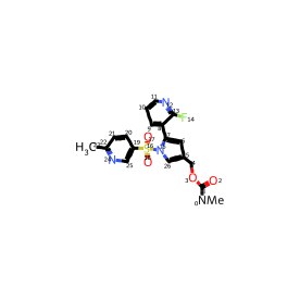 CNC(=O)OCc1cc(-c2cccnc2F)n(S(=O)(=O)c2ccc(C)nc2)c1